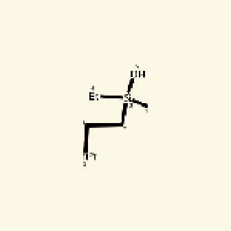 CCCCC[Si](C)(O)CC